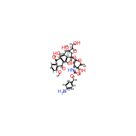 COc1cccc2c1C(=O)c1c(O)c3c(c(O)c1C2=O)C[C@@](O)(C(=O)CO)C[C@]3(C)O[C@H]1C[C@H](NC(=O)OCc2ccc(N)cc2)[C@H](O)[C@H](C)O1